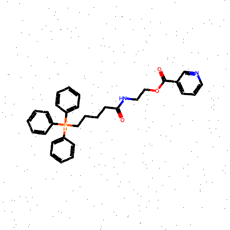 O=C(CCCC[PH](c1ccccc1)(c1ccccc1)c1ccccc1)NCCOC(=O)c1cccnc1